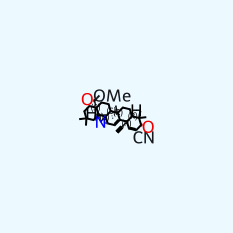 C#C[C@]12C=C(C#N)C(=O)C(C)(C)[C@@H]1CC[C@]1(C)C2=CC2=N[C@]23[C@@H]2CC(C)(C)CC[C@]2(C(=O)OC)CC[C@@]13C